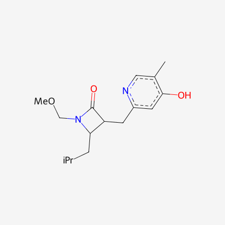 COCN1C(=O)C(Cc2cc(O)c(C)cn2)C1CC(C)C